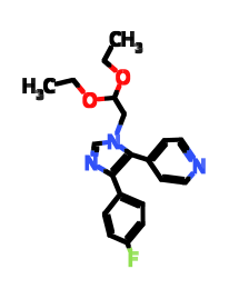 CCOC(Cn1cnc(-c2ccc(F)cc2)c1-c1ccncc1)OCC